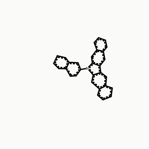 c1ccc2cc(-n3c4cc5ccccc5cc4c4cc5ccccc5cc43)ccc2c1